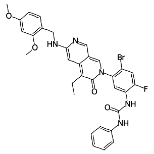 CCc1c(=O)n(-c2cc(NC(=O)Nc3ccccc3)c(F)cc2Br)cc2cnc(NCc3ccc(OC)cc3OC)cc12